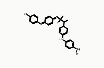 CCNc1ccc(NC2=CCC(C(C)C(C)(CC)N=C3C=CC(=Nc4ccc(CC)cc4)C=C3)C=C2)cc1